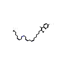 Cc1c(CCCCC/C=C\C/C=C\C/C=C\C/C=C\CCCC(N)=O)c(=O)oc2cc(N)ccc12